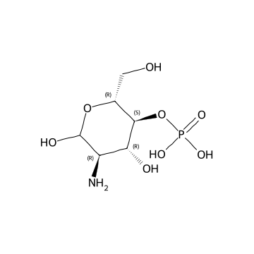 N[C@H]1C(O)O[C@H](CO)[C@@H](OP(=O)(O)O)[C@@H]1O